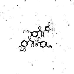 CCCc1cc(C(=O)Nc2cc(C)[nH]n2)ccc1OC(C(=O)NS(=O)(=O)c1ccc(C(C)C)cc1)c1ccc2c(c1)OCO2